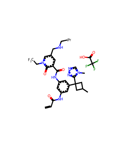 C=CC(=O)Nc1cc(NC(=O)c2cc(CNCC(C)C)cn(CC(F)(F)F)c2=O)cc(C2(c3nncn3C)CC(C)C2)c1.O=C(O)C(F)(F)F